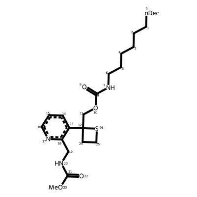 CCCCCCCCCCCCCCCCNC(=O)OCC1(c2cccnc2CNC(=O)OC)CCS1